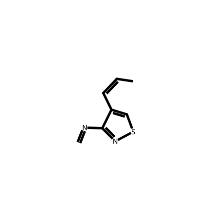 C=Nc1nscc1/C=C\C